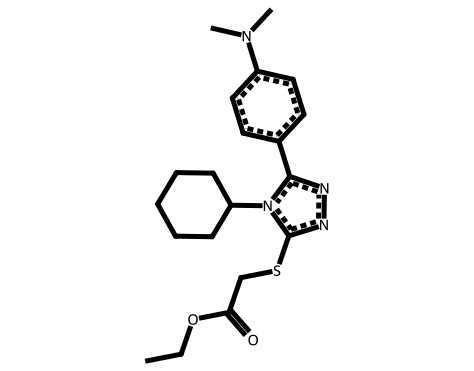 CCOC(=O)CSc1nnc(-c2ccc(N(C)C)cc2)n1C1CCCCC1